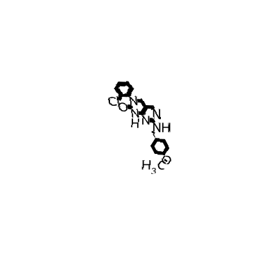 CO[C@H]1CC[C@H](CNc2ncc3c(n2)NC(=O)N(c2ccccc2Cl)C3)CC1